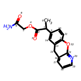 CC(C(=O)OCC(N)=O)c1ccc2c(c1)Cc1cccnc1O2